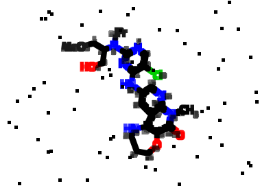 COCC(CO)N(c1ncc(Cl)c(Nc2cnc3c(c2)c2c(c(=O)n3C)OCCCN2)n1)C(C)C